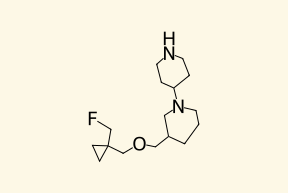 FCC1(COCC2CCCN(C3CCNCC3)C2)CC1